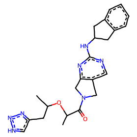 CC(Cc1c[nH]nn1)OC(C)C(=O)N1Cc2cnc(NC3Cc4ccccc4C3)nc2C1